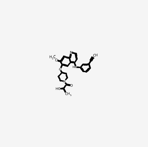 C#Cc1cccc(Nc2ccnc3cc(OC)c(OC4CCN(C(=O)C(C)O)CC4)cc23)c1